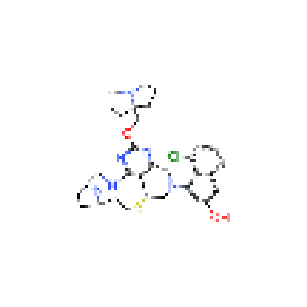 Oc1cc(N2Cc3nc(OCC45CCCN4CCC5)nc4c3C(C2)SCC2C3CCC(CN42)N3)c2c(Cl)cccc2c1